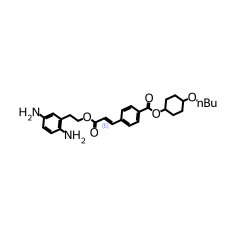 CCCCOC1CCC(OC(=O)c2ccc(/C=C/C(=O)OCCc3cc(N)ccc3N)cc2)CC1